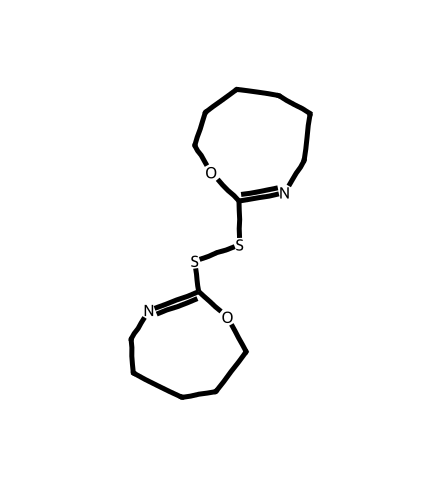 C1CCCO/C(SS/C2=N/CCCCCO2)=N\CC1